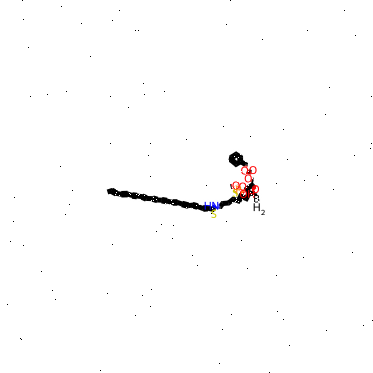 B[C@@H]1O[C@H](COC(=O)OCc2ccccc2)[C@H](OP(O)(=S)OC)C1C/C=C/CCCCNC(=S)C#CC#CC#CC#CC#CC#CC#CC#CC#CC#CC